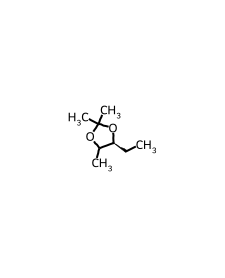 CC[C@@H]1OC(C)(C)OC1C